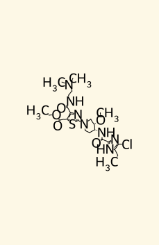 CCOC(=O)c1sc(N2CC[C@@H](NC(=O)c3nc(Cl)c(CC)[nH]3)[C@@H](OC)C2)nc1C(=O)NCCN(C)C